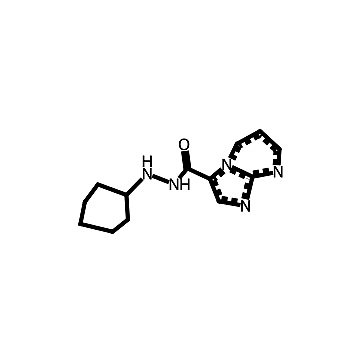 O=C(NNC1CCCCC1)c1cnc2ncccn12